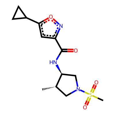 C[C@H]1CN(S(C)(=O)=O)C[C@@H]1NC(=O)c1cc(C2CC2)on1